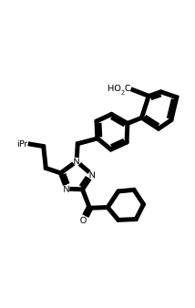 CC(C)CCc1nc(C(=O)C2CCCCC2)nn1Cc1ccc(-c2ccccc2C(=O)O)cc1